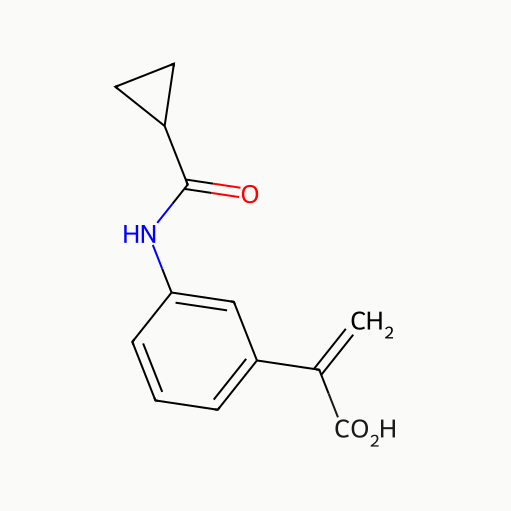 C=C(C(=O)O)c1cccc(NC(=O)C2CC2)c1